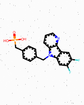 O=P(O)(O)Cc1ccc(Cn2c3cc(F)c(F)cc3c3ncccc32)cc1